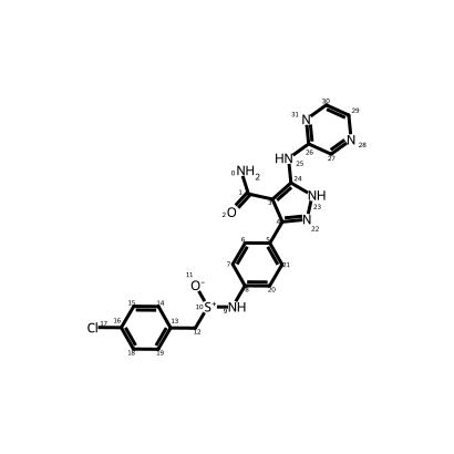 NC(=O)c1c(-c2ccc(N[S+]([O-])Cc3ccc(Cl)cc3)cc2)n[nH]c1Nc1cnccn1